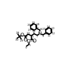 CCOC(=O)C(CCN(Cc1ccccc1)Cc1ccccc1)CC(=O)OC(C)(C)C